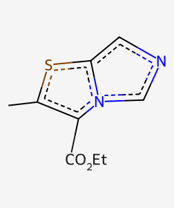 CCOC(=O)c1c(C)sc2cncn12